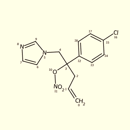 C=CCC(Cn1ccnc1)(O[N+](=O)[O-])c1ccc(Cl)cc1